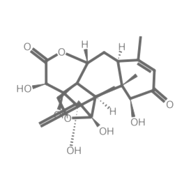 C=C1[C@@H](O)[C@@]2(O)OC[C@]34[C@H]2[C@@]2(C)[C@H](O)C(=O)C=C(C)[C@@H]2C[C@H]3OC(=O)[C@H](O)[C@@]14O